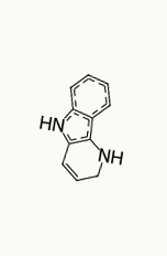 C1=Cc2[nH]c3ccccc3c2NC1